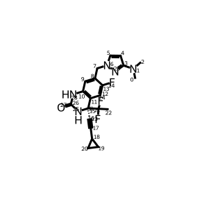 CN(C)c1ccn(Cc2cc3c(cc2F)[C@@](C#CC2CC2)(C(C)(F)F)NC(=O)N3)n1